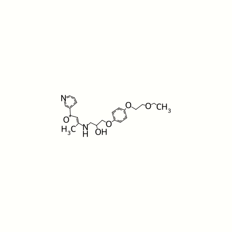 CCOCCOc1ccc(OCC(O)CNC(C)=CC(=O)c2cccnc2)cc1